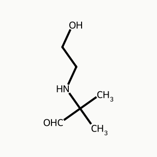 CC(C)(C=O)NCCO